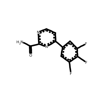 NC(=O)c1nccc(-c2cc(F)c(F)c(F)c2)n1